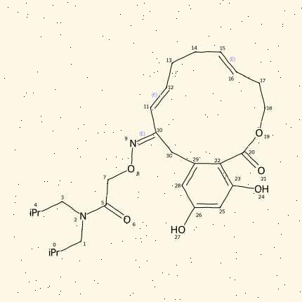 CC(C)CN(CC(C)C)C(=O)CO/N=C1/C=C/CC/C=C/CCOC(=O)c2c(O)cc(O)cc2C1